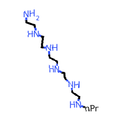 CCCNCCNCCNCCNCCNCCN